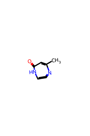 CC1=CC(=O)NC=C=N1